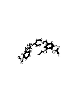 CCOc1cc(CN2CCC(Nc3nc4cc([N+](=O)[O-])ccc4o3)CC2)ccc1OC(C)C